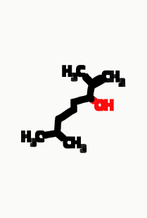 C=C(C)C(O)CCCC(C)C